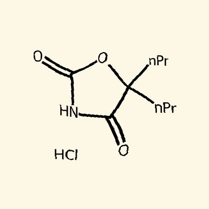 CCCC1(CCC)OC(=O)NC1=O.Cl